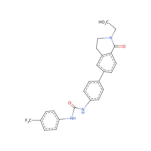 O=C(O)CN1CCc2cc(-c3ccc(NC(=O)Nc4ccc(C(F)(F)F)cc4)cc3)ccc2C1=O